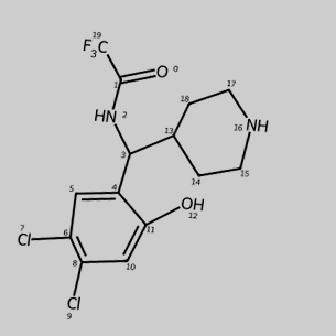 O=C(NC(c1cc(Cl)c(Cl)cc1O)C1CCNCC1)C(F)(F)F